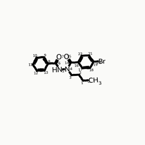 CCCCN(NC(=O)c1ccccc1)C(=O)c1ccc(Br)cc1